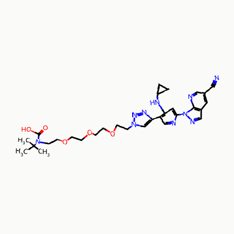 CC(C)(C)N(CCOCCOCCOCCn1cc(-c2cnc(-n3ncc4cc(C#N)cnc43)cc2NC2CC2)nn1)C(=O)O